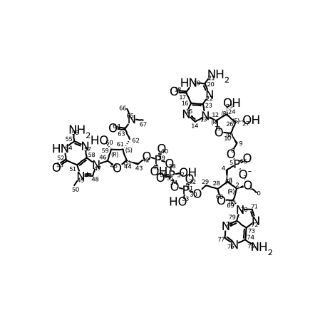 CO[C@@H]1[C@H](CP(=O)([O-])OC[C@H]2O[C@@H](n3cnc4c(=O)[nH]c(N)nc43)[C@H](O)[C@@H]2O)C(COP(=O)(O)OP(=O)(O)OP(=O)(O)OC[C@H]2OC(n3c[n+](C)c4c(=O)[nH]c(N)nc43)[C@H](O)[C@@H]2CC(=O)N(C)C)O[C@H]1n1cnc2c(N)ncnc21